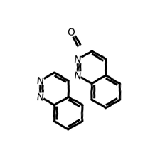 C=O.c1ccc2nnccc2c1.c1ccc2nnccc2c1